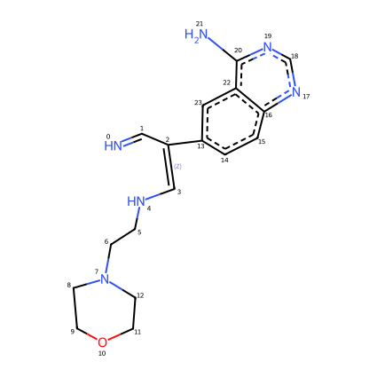 N=C/C(=C\NCCN1CCOCC1)c1ccc2ncnc(N)c2c1